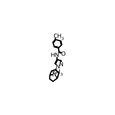 Cc1ccc(C(=O)Nc2cnn(C3CC4CCC(C3)N4C)c2)cc1